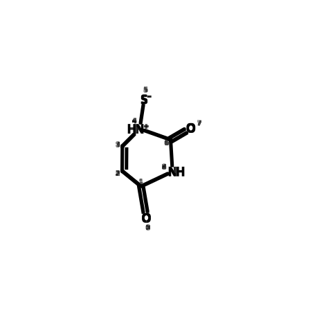 O=C1C=C[NH+]([S-])C(=O)N1